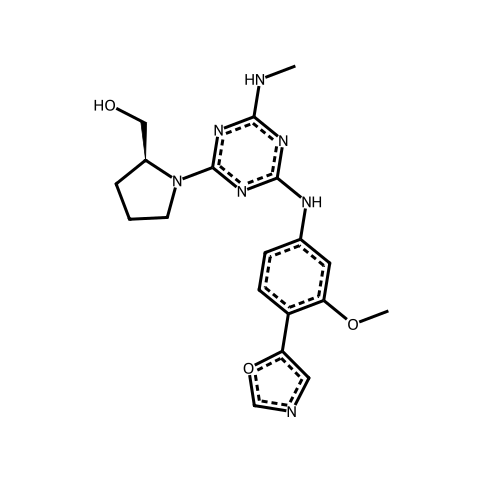 CNc1nc(Nc2ccc(-c3cnco3)c(OC)c2)nc(N2CCC[C@H]2CO)n1